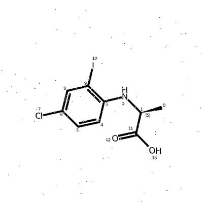 C[C@H](Nc1ccc(Cl)cc1I)C(=O)O